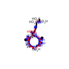 CC(C)C[C@@H]1NC(=O)[C@H](Cc2c[nH]cn2)NC(=O)[C@H](Cc2c[nH]c3ccccc23)NC(=O)[C@H](C)NC(=O)[C@@H](NC(=O)[C@@H](CNC(=O)CCOCc2cn(CCCC[C@H](NC(=O)N[C@@H](CCC(=O)O)C(=O)O)C(=O)O)nn2)CC2OC2O)CSSC[C@@H](C(=O)N[C@H](C(=O)O)[C@@H](C)O)NC(=O)[C@H](Cc2c[nH]c3ccccc23)NC(=O)[C@H](C(C)C)NC(=O)[C@H](CC(C)C)NC(=O)[C@H](CCC(=O)O)NC(=O)CNC1=O